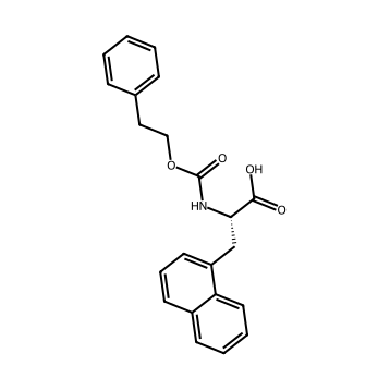 O=C(N[C@@H](Cc1cccc2ccccc12)C(=O)O)OCCc1ccccc1